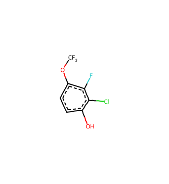 Oc1ccc(OC(F)(F)F)c(F)c1Cl